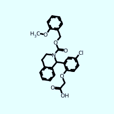 COc1ccccc1COC(=O)N1CCc2ccccc2C1c1cc(Cl)ccc1OCC(=O)O